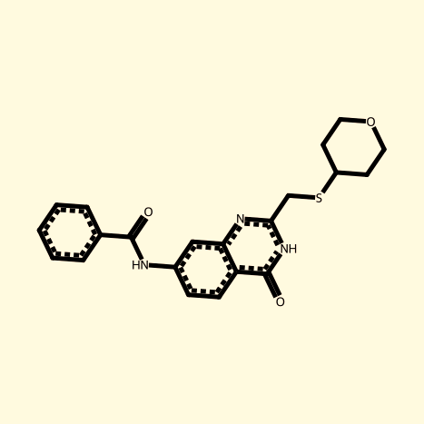 O=C(Nc1ccc2c(=O)[nH]c(CSC3CCOCC3)nc2c1)c1ccccc1